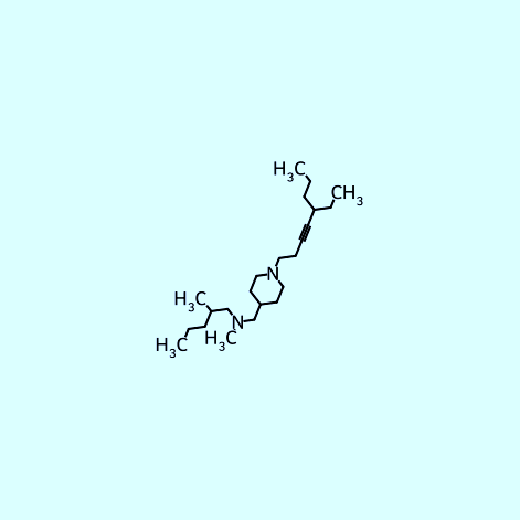 CCCC(C)CN(C)CC1CCN(CCC#CC(CC)CCC)CC1